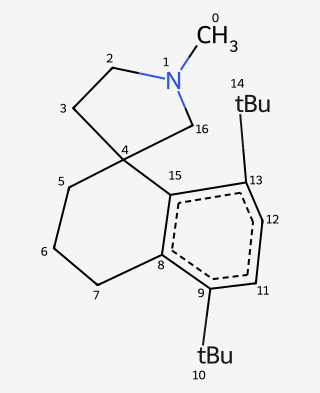 CN1CCC2(CCCc3c(C(C)(C)C)ccc(C(C)(C)C)c32)C1